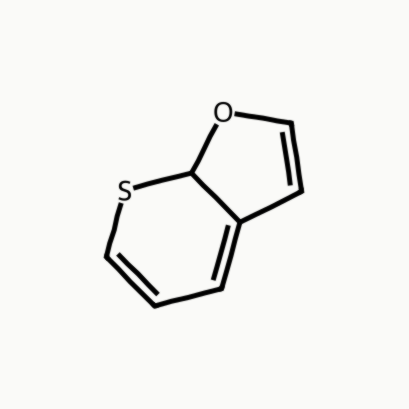 C1=CSC2OC=CC2=C1